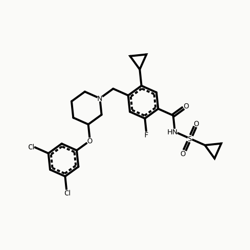 O=C(NS(=O)(=O)C1CC1)c1cc(C2CC2)c(CN2CCCC(Oc3cc(Cl)cc(Cl)c3)C2)cc1F